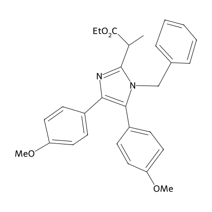 CCOC(=O)C(C)c1nc(-c2ccc(OC)cc2)c(-c2ccc(OC)cc2)n1Cc1ccccc1